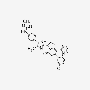 COC(=O)Nc1ccc(-c2[nH]c(C3CCc4cc(C5C=C(Cl)C=CC5n5cnnn5)cc(=O)n43)nc2C)cc1